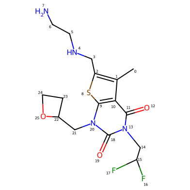 Cc1c(CNCCN)sc2c1c(=O)n(CC(F)F)c(=O)n2CC1CCO1